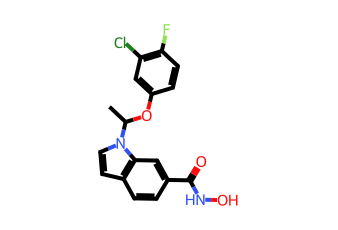 CC(Oc1ccc(F)c(Cl)c1)n1ccc2ccc(C(=O)NO)cc21